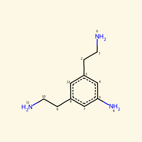 NCCc1cc(N)cc(CCN)c1